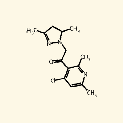 CC1=NN(CC(=O)c2c(Cl)cc(C)nc2C)C(C)C1